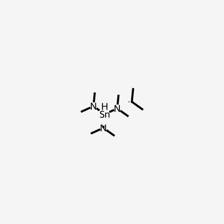 C[CH]C.C[N](C)[SnH]([N](C)C)[N](C)C